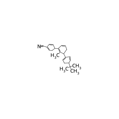 CC1=C(C2C=CC(C#N)=CC2)C=CCC1C1=CCC(C(C)(C)C)C=C1